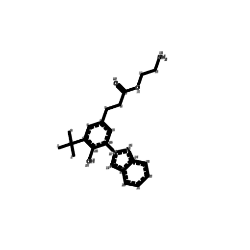 CC(C)(C)c1cc(CCC(=O)OCCN)cc(-n2nc3ccccc3n2)c1O